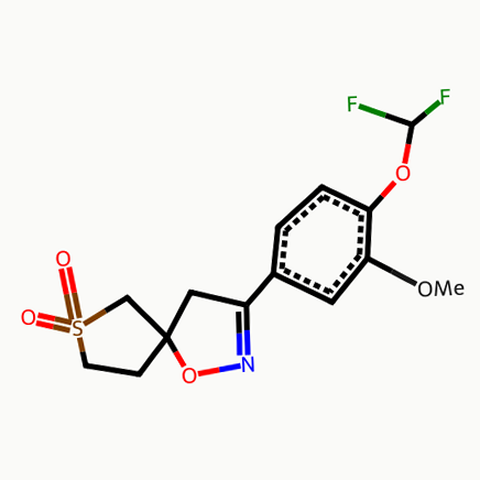 COc1cc(C2=NOC3(CCS(=O)(=O)C3)C2)ccc1OC(F)F